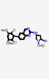 COc1cc(OC)c(Cl)c(-c2ccc3nc(NC4CC(C(C)C)N(C=O)C4)ncc3c2)c1Cl